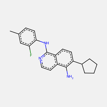 Cc1ccc(Nc2nccc3c(N)c(C4CCCC4)ccc23)c(F)c1